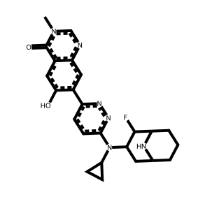 Cn1cnc2cc(-c3ccc(N(C4CC4)C4CC5CCCC(N5)C4F)nn3)c(O)cc2c1=O